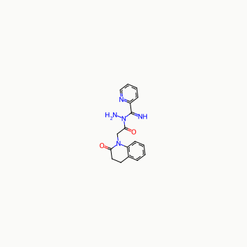 N=C(c1ccccn1)N(N)C(=O)CN1C(=O)CCc2ccccc21